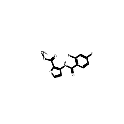 COC(=O)c1sccc1NC(=O)c1ccc(F)cc1F